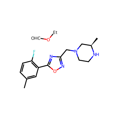 CCOC=O.Cc1ccc(F)c(-c2nc(CN3CCN[C@H](C)C3)no2)c1